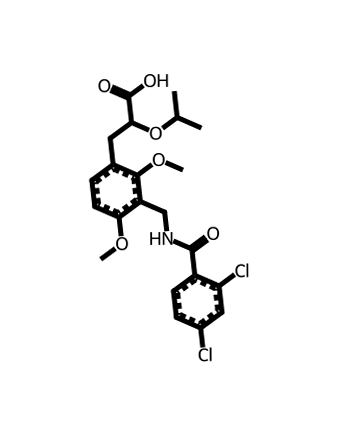 COc1ccc(CC(OC(C)C)C(=O)O)c(OC)c1CNC(=O)c1ccc(Cl)cc1Cl